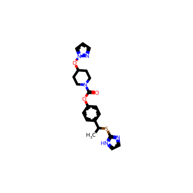 CC(Sc1ncc[nH]1)c1ccc(OC(=O)N2CCC(On3cccn3)CC2)cc1